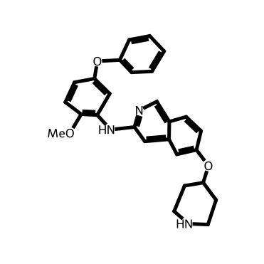 COc1ccc(Oc2ccccc2)cc1Nc1cc2cc(OC3CCNCC3)ccc2cn1